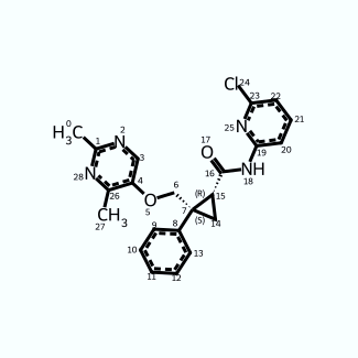 Cc1ncc(OC[C@@]2(c3ccccc3)C[C@H]2C(=O)Nc2cccc(Cl)n2)c(C)n1